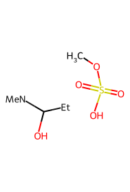 CCC(O)NC.COS(=O)(=O)O